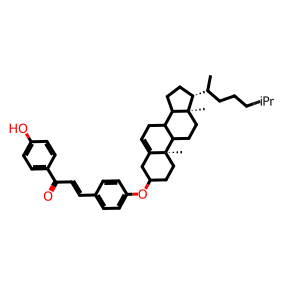 CC(C)CCCC(C)[C@H]1CCC2C3CC=C4CC(Oc5ccc(C=CC(=O)c6ccc(O)cc6)cc5)CC[C@]4(C)C3CC[C@@]21C